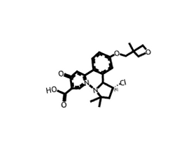 CC1(COc2ccc3c(c2)C2[C@H](Cl)CC(C)(C)N2n2cc(C(=O)O)c(=O)cc2-3)COC1